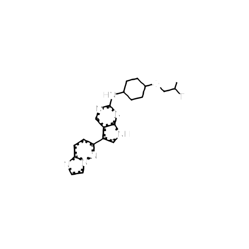 FC(F)COC1CCC(Nc2ncc3c(-c4ccc5nccn5n4)c[nH]c3n2)CC1